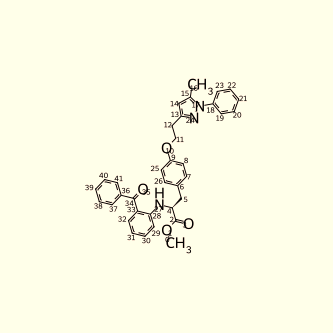 COC(=O)[C@H](Cc1ccc(OCCc2cc(C)n(-c3ccccc3)n2)cc1)Nc1ccccc1C(=O)c1ccccc1